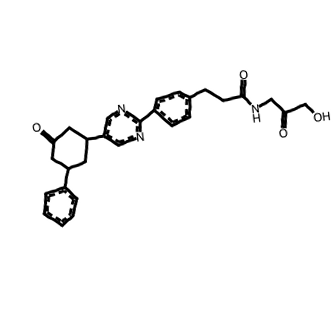 O=C(CO)CNC(=O)CCc1ccc(-c2ncc(C3CC(=O)CC(c4ccccc4)C3)cn2)cc1